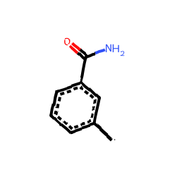 [CH2]c1cccc(C(N)=O)c1